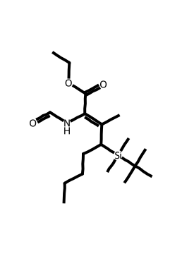 CCCCC(C(C)=C(NC=O)C(=O)OCC)[Si](C)(C)C(C)(C)C